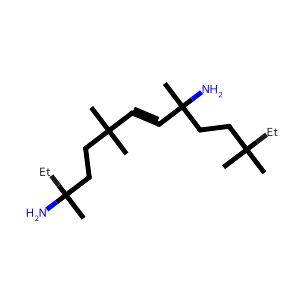 CCC(C)(C)CCC(C)(N)/C=C/C(C)(C)CCC(C)(N)CC